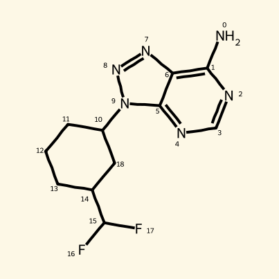 Nc1ncnc2c1nnn2C1CCCC(C(F)F)C1